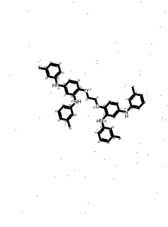 Cc1cccc(Nc2ccc(OCCOc3ccc(Nc4cccc(C)c4)cc3Nc3cccc(C)c3)c(Nc3cccc(C)c3)c2)c1